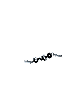 CCCCCCCC1CCC(CCc2cnc(-c3ccc(OCCCCC)cc3)nc2)CC1